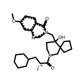 COc1ccc2c(=O)n(CC3(O)CCN(C(=O)[C@H](C)CC4CCCCC4)CC34CCCC4)cnc2c1